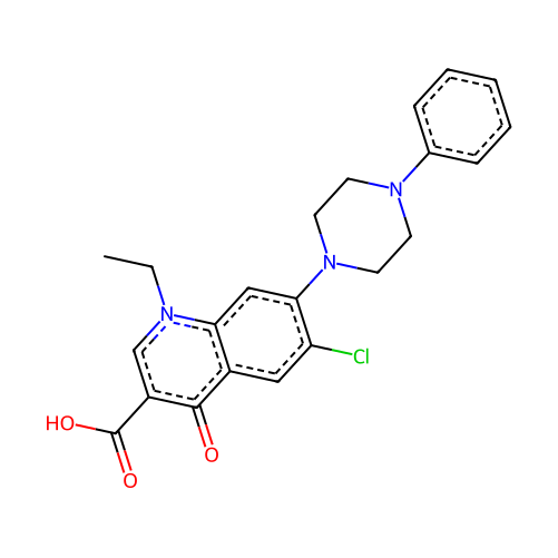 CCn1cc(C(=O)O)c(=O)c2cc(Cl)c(N3CCN(c4ccccc4)CC3)cc21